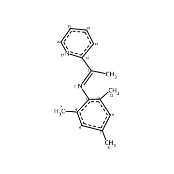 C/C(=N\c1c(C)cc(C)cc1C)c1ccccn1